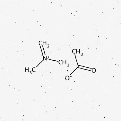 C=[N+](C)C.CC(=O)[O-]